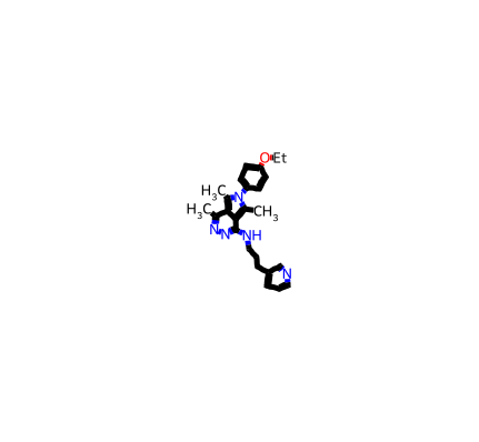 CCOc1ccc(-n2c(C)c3c(C)nnc(NCCCc4cccnc4)c3c2C)cc1